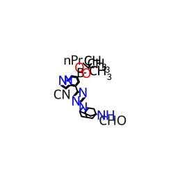 CCCC1(C)OB(c2cc(-c3cnc(N4C5CC6CC4CC(NC=O)(C6)C5)cn3)c3c(C#N)cnn3c2)OC1(C)C